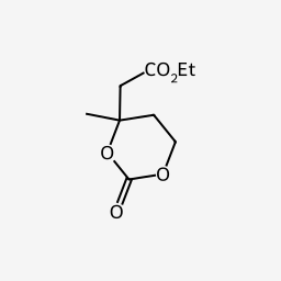 CCOC(=O)CC1(C)CCOC(=O)O1